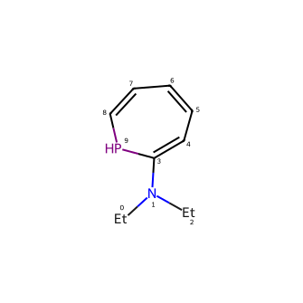 CCN(CC)C1=CC=CC=CP1